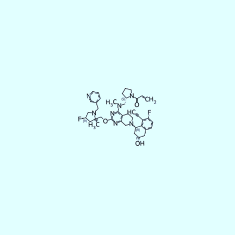 C#Cc1c(F)ccc2c1[C@H](N1CCc3c(nc(OC[C@]4(C)C[C@@H](F)CN4Cc4cccnc4)nc3N(C)C[C@@H]3CCCN3C(=O)C=C)C1)C[C@@H](O)C2